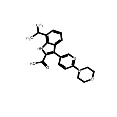 CC(C)c1cccc2c(-c3ccc(N4CCOCC4)nc3)c(C(=O)O)[nH]c12